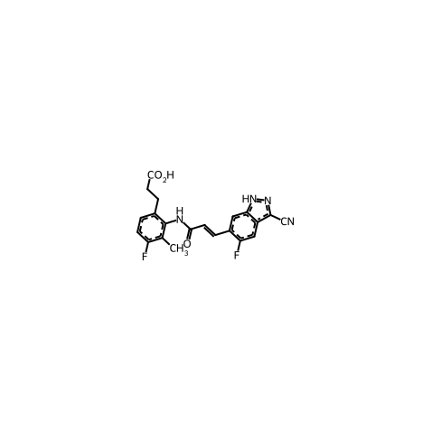 Cc1c(F)ccc(CCC(=O)O)c1NC(=O)C=Cc1cc2[nH]nc(C#N)c2cc1F